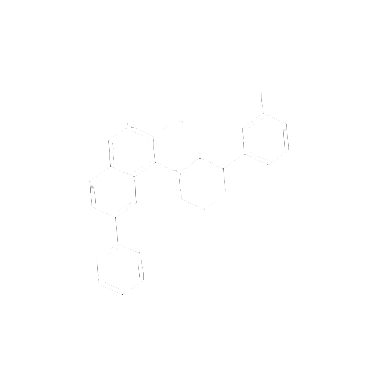 N#Cc1ncc2ccc(-c3ccccn3)cc2c1N1CCOC(c2cccc(F)c2)C1